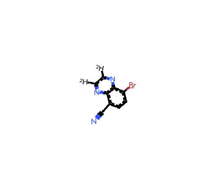 [2H]c1nc2c(Br)ccc(C#N)c2nc1[2H]